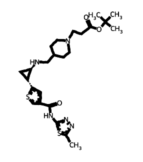 Cc1nnc(NC(=O)c2csc([C@@H]3C[C@H]3NCC3CCN(CCC(=O)OC(C)(C)C)CC3)c2)s1